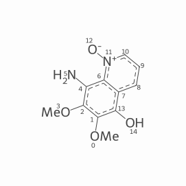 COc1c(OC)c(N)c2c(ccc[n+]2[O-])c1O